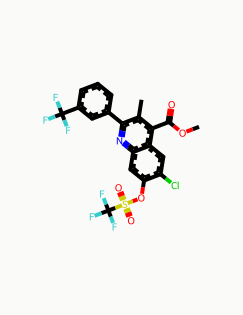 COC(=O)c1c(C)c(-c2cccc(C(F)(F)F)c2)nc2cc(OS(=O)(=O)C(F)(F)F)c(Cl)cc12